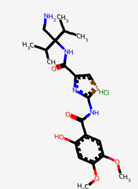 COc1cc(O)c(C(=O)Nc2nc(C(=O)NC(CN)(C(C)C)C(C)C)cs2)cc1OC.Cl